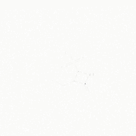 CC(C)(C)S(=O)(=O)C1NC(=O)C1CO